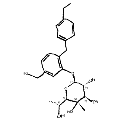 CCc1ccc(Cc2ccc(CO)cc2O[C@@H]2O[C@H]([C@@H](C)O)[C@@](C)(O)[C@H](O)[C@H]2O)cc1